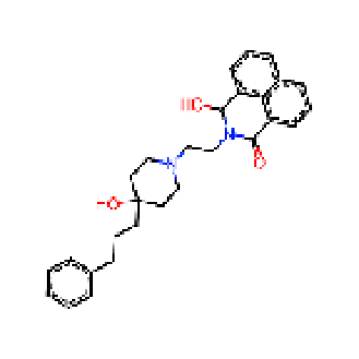 O=C1c2cccc3cccc(c23)C(O)N1CCN1CCC(O)(CCCc2ccccc2)CC1